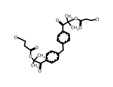 CC(C)(OC(=O)CCCl)C(=O)c1ccc(Cc2ccc(C(=O)C(C)(C)OC(=O)CCCl)cc2)cc1